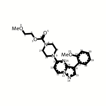 COCCOC(=O)N1CCN(c2ccn3ncc(-c4ccccc4OC)c3n2)CC1